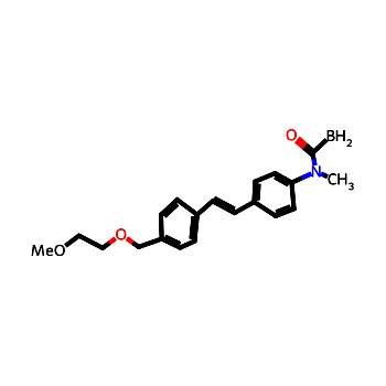 BC(=O)N(C)c1ccc(/C=C/c2ccc(COCCOC)cc2)cc1